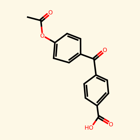 CC(=O)Oc1ccc(C(=O)c2ccc(C(=O)O)cc2)cc1